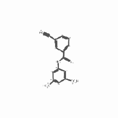 C#Cc1cccc(C(=S)Nc2cc(C(=O)O)cc(C(=O)O)c2)c1